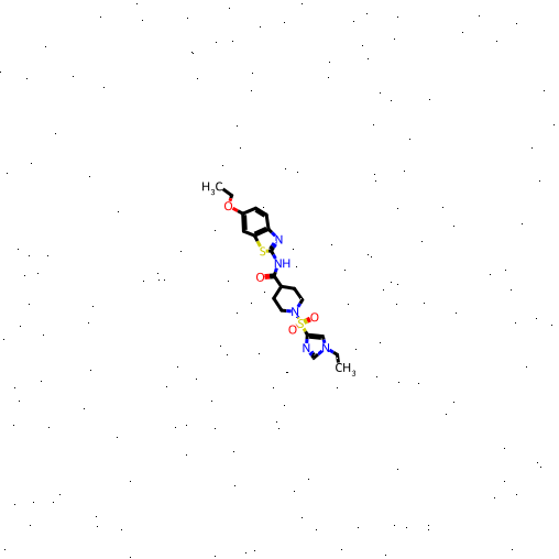 CCOc1ccc2nc(NC(=O)C3CCN(S(=O)(=O)c4cn(CC)cn4)CC3)sc2c1